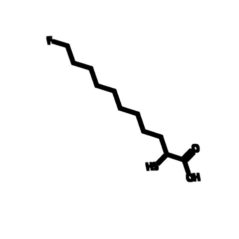 O=C(O)C(S)CCCCCCCCCF